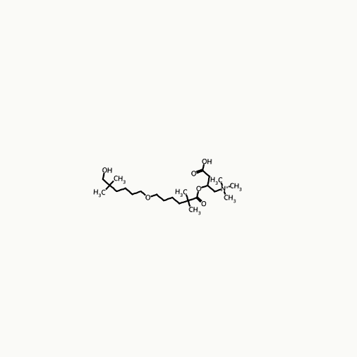 CC(C)(CO)CCCCOCCCCC(C)(C)C(=O)OC(CC(=O)O)C[N+](C)(C)C